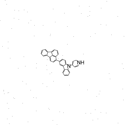 C1=CC(n2c3ccccc3c3cc(-c4ccc5c6c(cccc46)-c4ccccc4-5)ccc32)=CCN1